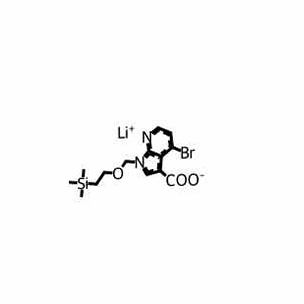 C[Si](C)(C)CCOCn1cc(C(=O)[O-])c2c(Br)ccnc21.[Li+]